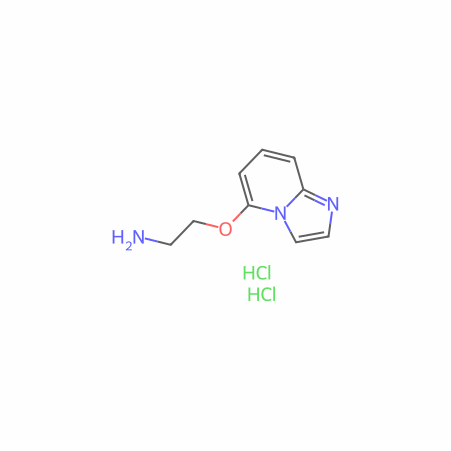 Cl.Cl.NCCOc1cccc2nccn12